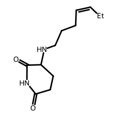 CC/C=C\CCCNC1CCC(=O)NC1=O